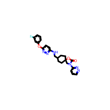 O=C1OC2(CCC(CNc3ccc(Oc4cccc(F)c4)nn3)CC2)CN1c1cccnn1